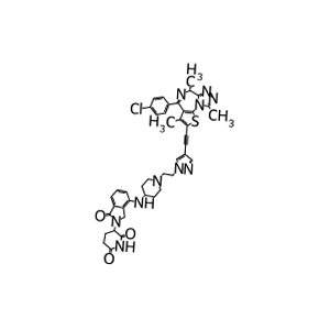 Cc1c(C#Cc2cnn(CCN3CCC(Nc4cccc5c4CN(C4CCC(=O)NC4=O)C5=O)CC3)c2)sc2c1C(c1ccc(Cl)cc1)=N[C@@H](C)c1nnc(C)n1-2